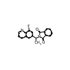 CC(c1cc(F)c2ncccc2c1)N1C(=O)c2ccccc2C1=O